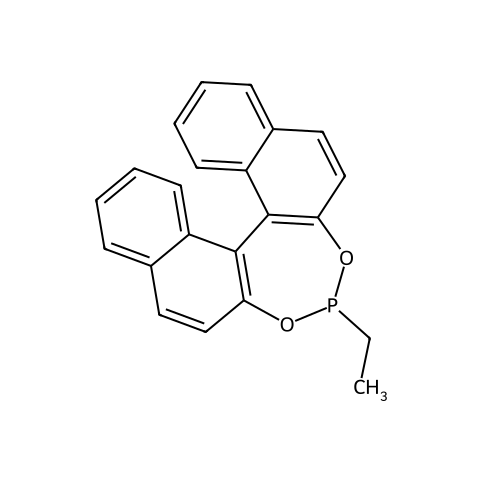 CCp1oc2ccc3ccccc3c2c2c(ccc3ccccc32)o1